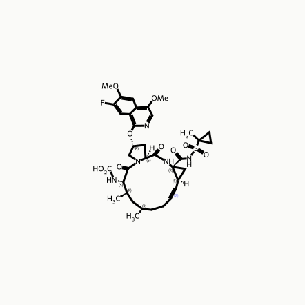 COc1cc2c(OC)cnc(O[C@@H]3C[C@H]4C(=O)N[C@]5(C(=O)NS(=O)(=O)C6(C)CC6)C[C@H]5/C=C\CC[C@@H](C)C[C@@H](C)[C@H](NC(=O)O)C(=O)N4C3)c2cc1F